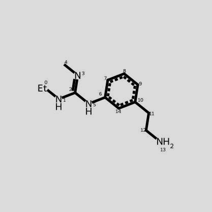 CCNC(=NC)Nc1cccc(CCN)c1